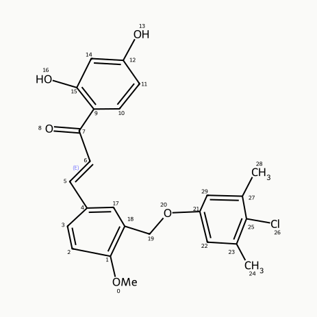 COc1ccc(/C=C/C(=O)c2ccc(O)cc2O)cc1COc1cc(C)c(Cl)c(C)c1